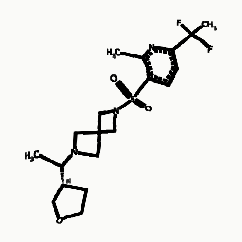 Cc1nc(C(C)(F)F)ccc1S(=O)(=O)N1CC2(CN(C(C)[C@@H]3CCOC3)C2)C1